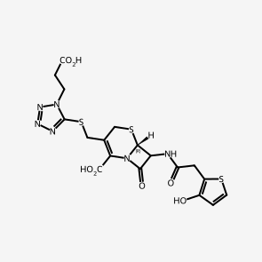 O=C(O)CCn1nnnc1SCC1=C(C(=O)O)N2C(=O)C(NC(=O)Cc3sccc3O)[C@H]2SC1